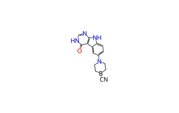 N#CB1CCN(c2ccc3[nH]c4nc[nH]c(=O)c4c3c2)CC1